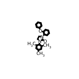 Cc1cc(C)c(N2CCN(c3ccccc3Oc3ccccc3)C2=O)c(C)c1